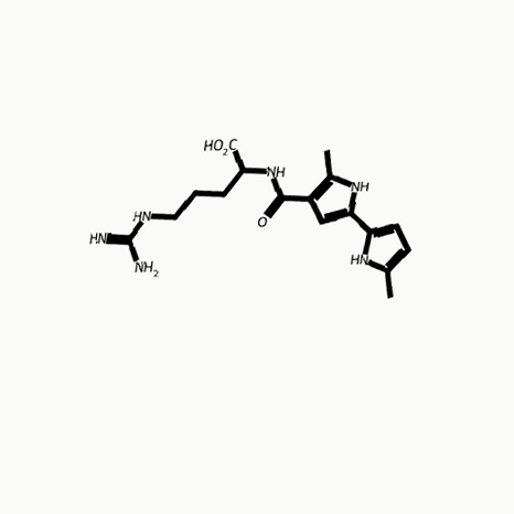 Cc1ccc(-c2cc(C(=O)NC(CCCNC(=N)N)C(=O)O)c(C)[nH]2)[nH]1